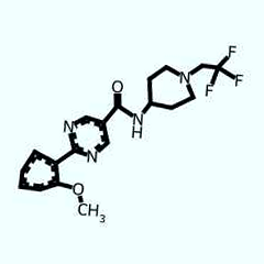 COc1ccccc1-c1ncc(C(=O)NC2CCN(CC(F)(F)F)CC2)cn1